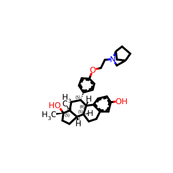 C[C@]1(O)CC[C@H]2[C@@H]3CCc4cc(O)ccc4[C@H]3[C@@H](c3ccc(OCCN4CC5CCC4C5)cc3)C[C@@]21C